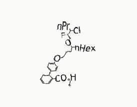 CCCCCCC(CCCOc1ccc(-c2ccccc2C(=O)O)cc1)OC[C@H](F)[C@H](Cl)CCC